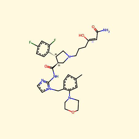 Cc1ccc(Cn2ccnc2NC(=O)[C@@H]2CN(CCC/C(O)=C/C(N)=O)C[C@H]2c2ccc(F)cc2F)c(N2CCOCC2)c1